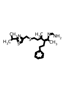 C=C(CCSCc1csc(C(C)C)n1)/C(CCc1ccccc1)=C(C)\N=C/N